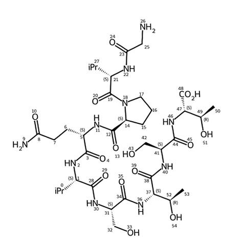 CC(C)[C@H](NC(=O)[C@H](CCC(N)=O)NC(=O)[C@@H]1CCCN1C(=O)[C@@H](NC(=O)CN)C(C)C)C(=O)N[C@@H](CO)C(=O)N[C@H](C(=O)N[C@@H](CO)C(=O)N[C@H](C(=O)O)[C@@H](C)O)[C@@H](C)O